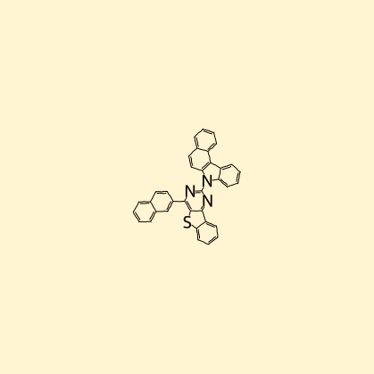 c1ccc2cc(-c3nc(-n4c5ccccc5c5c6ccccc6ccc54)nc4c3sc3ccccc34)ccc2c1